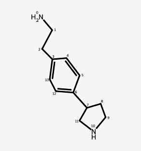 NCCc1ccc(C2CCNC2)cc1